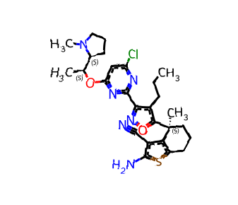 CCCc1c(-c2nc(Cl)cc(O[C@@H](C)[C@@H]3CCCN3C)n2)noc1[C@@]1(C)CCCc2sc(N)c(C#N)c21